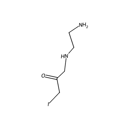 NCCNCC(=O)CI